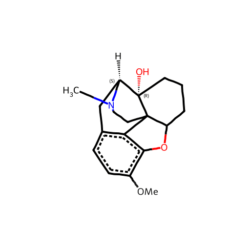 COc1ccc2c3c1OC1CCC[C@]4(O)[C@H](C2)N(C)CCC314